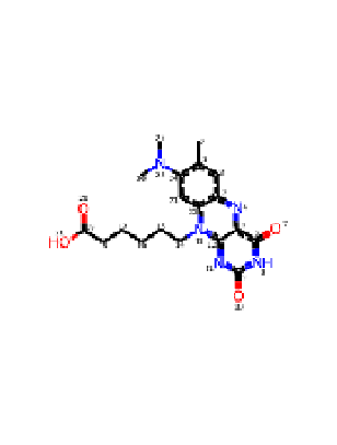 Cc1cc2nc3c(=O)[nH]c(=O)nc-3n(CCCCCC(=O)O)c2cc1N(C)C